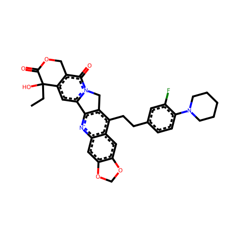 CCC1(O)C(=O)OCc2c1cc1n(c2=O)Cc2c-1nc1cc3c(cc1c2CCc1ccc(N2CCCCC2)c(F)c1)OCO3